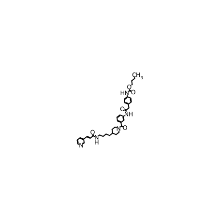 CCCCOC(=O)Nc1ccc(CC(=O)Nc2cccc(C(=O)N3CCC(CCCCNC(=O)/C=C/c4cccnc4)CC3)c2)cc1